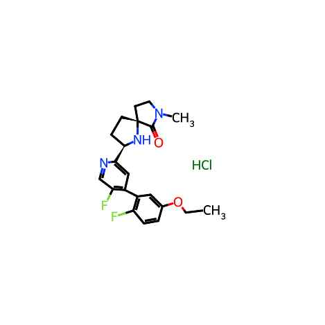 CCOc1ccc(F)c(-c2cc([C@H]3CC[C@]4(CCN(C)C4=O)N3)ncc2F)c1.Cl